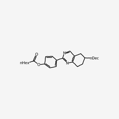 CCCCCCCCCCC1CCc2nc(-c3ccc(OC(=O)CCCCCC)cc3)ncc2C1